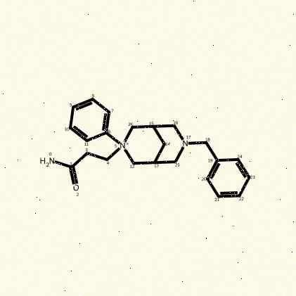 NC(=O)CC[N+]1(c2ccccc2)CC2CC(CN(Cc3ccccc3)C2)C1